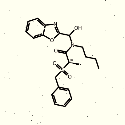 [CH2][C@H](C(=O)N(CCCC)C(O)c1nc2ccccc2o1)S(=O)(=O)Cc1ccccc1